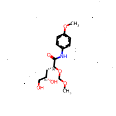 COCO[C@H](C[C@H](O)CO)C(=O)Nc1ccc(OC)cc1